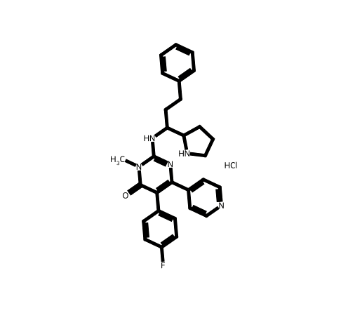 Cl.Cn1c(NC(CCc2ccccc2)C2CCCN2)nc(-c2ccncc2)c(-c2ccc(F)cc2)c1=O